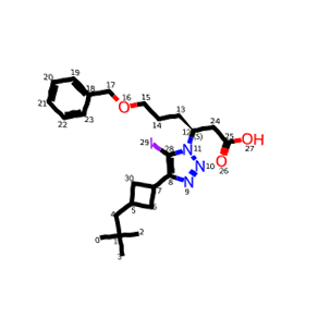 CC(C)(C)CC1CC(c2nnn([C@@H](CCCOCc3ccccc3)CC(=O)O)c2I)C1